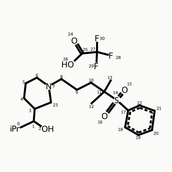 CC(C)C(O)C1CCCN(CCCC(C)(C)S(=O)(=O)c2ccccc2)C1.O=C(O)C(F)(F)F